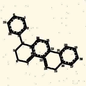 [c]1ccc(C2CCC=c3c2ccc2c3=CCc3ccccc3-2)cc1